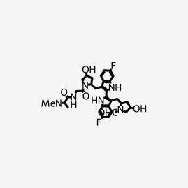 CNC(C)C(=O)NCC(=O)N1CC(O)CC1Cc1c(-c2[nH]c3cc(F)ccc3c2CC2CC(O)CN2C=O)[nH]c2cc(F)ccc12